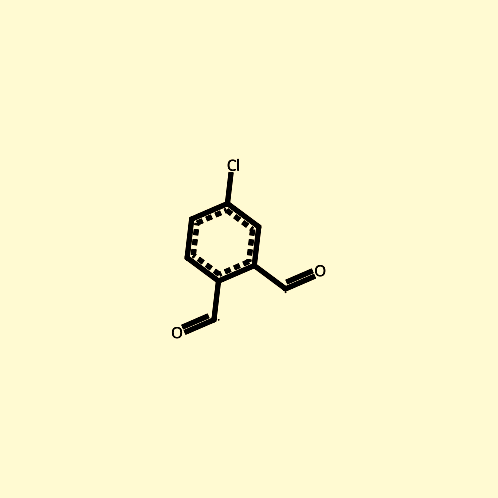 O=[C]c1ccc(Cl)cc1[C]=O